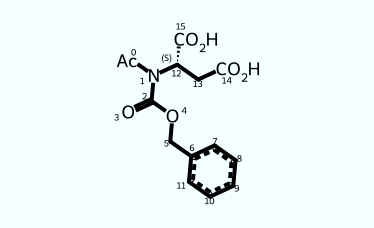 CC(=O)N(C(=O)OCc1ccccc1)[C@@H](CC(=O)O)C(=O)O